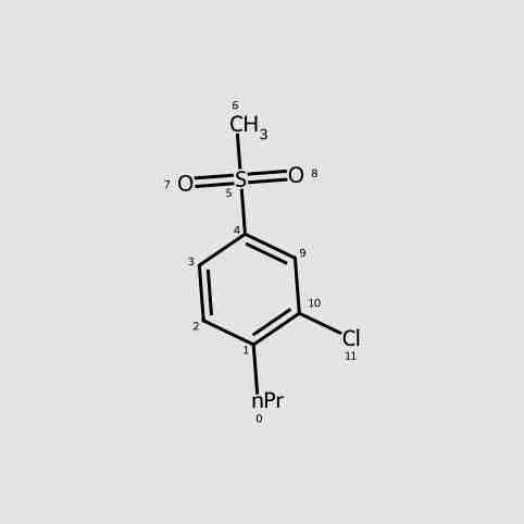 CCCc1ccc(S(C)(=O)=O)cc1Cl